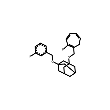 FC1=C(COC23CC4CC(C2)CC(OCc2cccc(F)c2)(C4)C3)CC=CC=C1